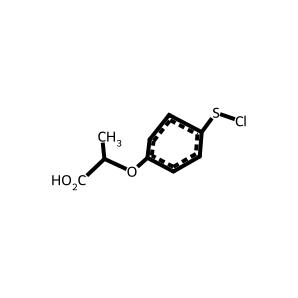 CC(Oc1ccc(SCl)cc1)C(=O)O